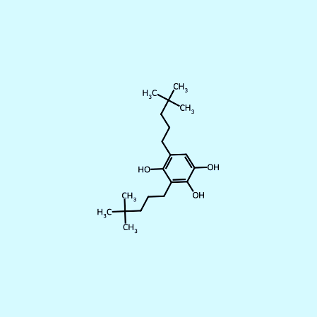 CC(C)(C)CCCc1cc(O)c(O)c(CCCC(C)(C)C)c1O